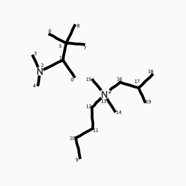 CC(N(C)C)C(C)(C)C.CCCC[N+](C)(C)CC(C)C